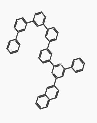 c1ccc(-c2cccc(-c3cccc(-c4cccc(-c5cccc(-c6nc(-c7ccccc7)cc(-c7ccc8ccccc8c7)n6)c5)c4)c3)c2)cc1